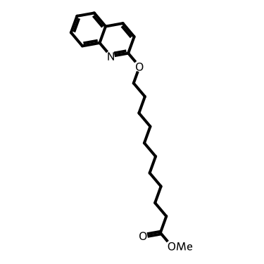 COC(=O)CCCCCCCCCCOc1ccc2ccccc2n1